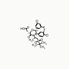 CC(CS(=O)(=O)C(C)(C)C)N1C(=O)[C@H](CC(=O)O)O[C@H](c2cc(F)cc(Cl)c2)[C@H]1c1ccc(Cl)c(F)c1